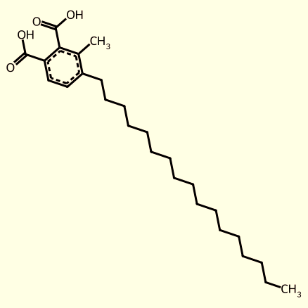 CCCCCCCCCCCCCCCCCc1ccc(C(=O)O)c(C(=O)O)c1C